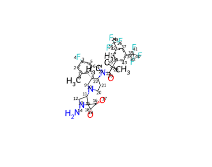 Cc1cc(F)ccc1[C@H]1CN(C2CN(N)C23C(=O)C3=O)CC[C@@H]1N(C)C(=O)C(C)(C)c1cc(C(F)(F)F)cc(C(F)(F)F)c1